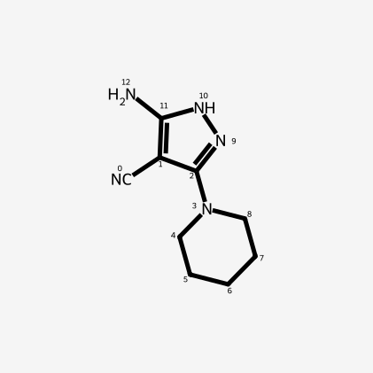 N#Cc1c(N2CCCCC2)n[nH]c1N